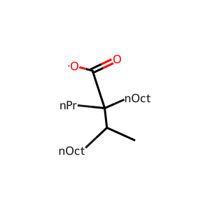 CCCCCCCCC(C)C(CCC)(CCCCCCCC)C([O])=O